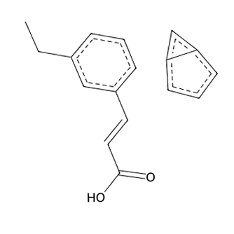 CCc1cccc(C=CC(=O)O)c1.c1cc2cc-2c1